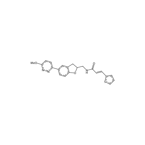 COc1ccc(-c2ccc3c(c2)CC(CNC(=O)C=Cc2cccs2)O3)nn1